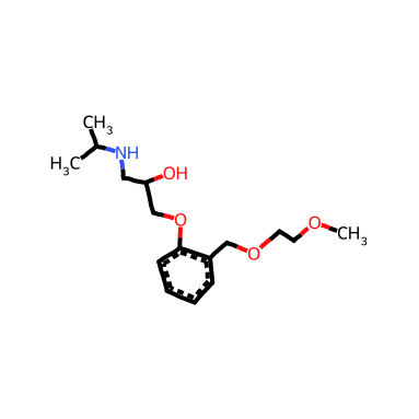 COCCOCc1ccccc1OCC(O)CNC(C)C